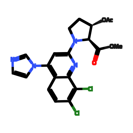 COC(=O)[C@@H]1[C@@H](OC(C)=O)CCN1c1cc(-n2ccnc2)c2ccc(Cl)c(Cl)c2n1